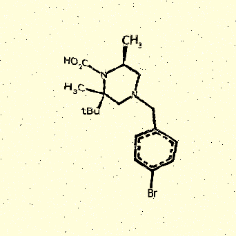 C[C@H]1CN(Cc2ccc(Br)cc2)C[C@@](C)(C(C)(C)C)N1C(=O)O